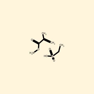 C=C(C)C(=O)ON.CCS(=O)(=O)O